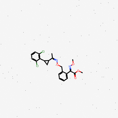 CON=C(C(=O)OC)c1ccccc1CON=C(C)C1CC1c1c(Cl)cccc1Cl